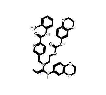 C/C=C(/Nc1ccc2c(c1)OCCO2)N(CCOC(=O)Nc1ccc2c(c1)OCCO2)Cc1ccc(C(=O)Nc2ccccc2N)nc1